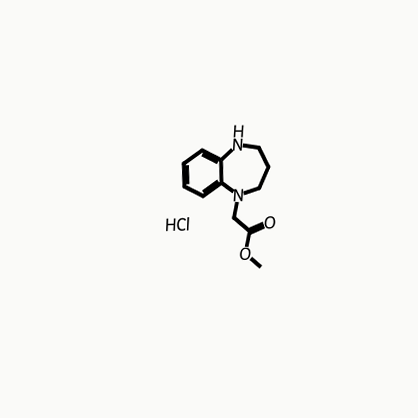 COC(=O)CN1CCCNc2ccccc21.Cl